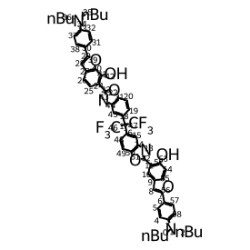 CCCCN(CCCC)c1ccc(-c2cc3cc(-c4nc5cc(C(c6ccc7oc(-c8ccc9cc(-c%10ccc(N(CCCC)CCCC)cc%10)oc9c8O)nc7c6)(C(F)(F)F)C(F)(F)F)ccc5o4)c(O)cc3o2)cc1